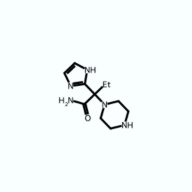 CCC(C(N)=O)(c1ncc[nH]1)N1CCNCC1